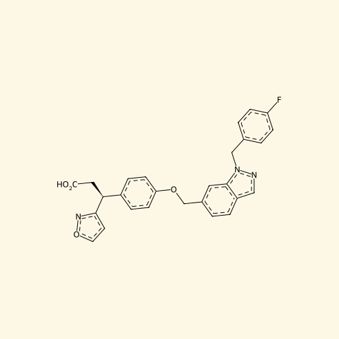 O=C(O)C[C@@H](c1ccc(OCc2ccc3cnn(Cc4ccc(F)cc4)c3c2)cc1)c1ccon1